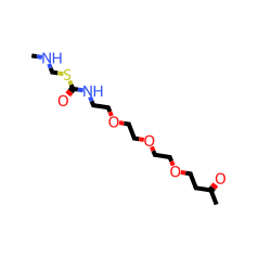 CNCSC(=O)NCCOCCOCCOCCC(C)=O